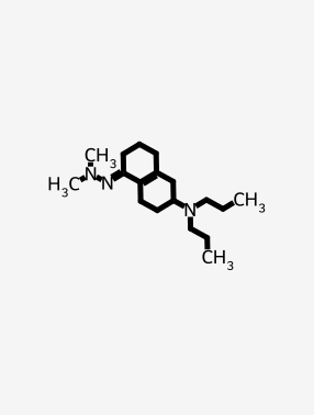 CCCN(CCC)C1CCC2=C(CCC/C2=N\N(C)C)C1